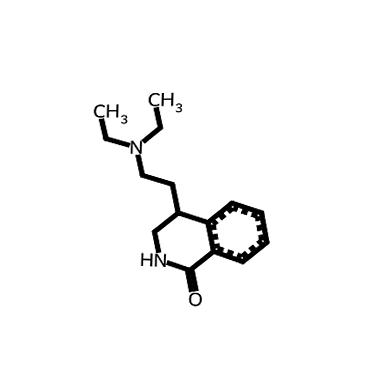 CCN(CC)CCC1CNC(=O)c2ccccc21